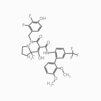 COc1cccc(-c2cc(C(F)(F)F)ccc2NC(=O)C2=C(O)C3(C)CCCN3N(Cc3ccc(O)c(F)c3F)C2=O)c1OC